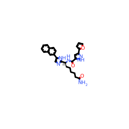 NC(=O)CCCCC[C@H](NC(=O)c1cc(-c2ccco2)n[nH]1)c1ncc(-c2ccc3ccccc3c2)[nH]1